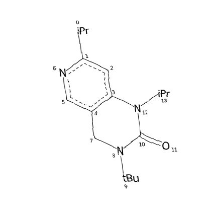 CC(C)c1cc2c(cn1)CN(C(C)(C)C)C(=O)N2C(C)C